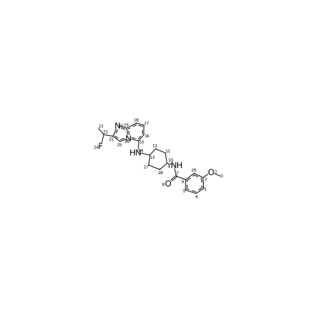 COc1cccc(C(=O)NC2CCC(Nc3cccc4nc(C(C)F)cn34)CC2)c1